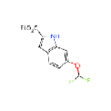 CCOC(=O)c1cc2ccc(OC(F)F)cc2[nH]1